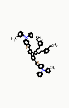 C=Cc1cccc(CCCCC2(CCCCc3cccc(C=C)c3)c3cc(-c4cc5cc(N(c6ccccc6)c6cccc(C)c6)ccc5s4)ccc3-c3ccc(-c4cc5cc(N(c6ccccc6)c6cccc(C)c6)ccc5s4)cc32)c1